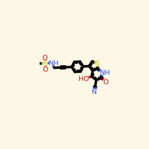 CS(=O)(=O)NCC#Cc1ccc(-c2csc3[nH]c(=O)c(C#N)c(O)c23)cc1